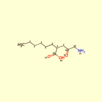 CCCCCCC(CC(=O)CN)C(=O)O